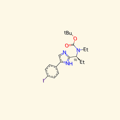 CC[C@@H](c1ncc(-c2ccc(I)cc2)[nH]1)N(CC)C(=O)OC(C)(C)C